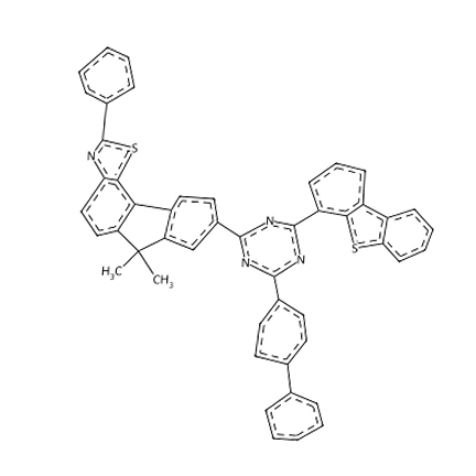 CC1(C)c2cc(-c3nc(-c4ccc(-c5ccccc5)cc4)nc(-c4cccc5c4sc4ccccc45)n3)ccc2-c2c1ccc1nc(-c3ccccc3)sc21